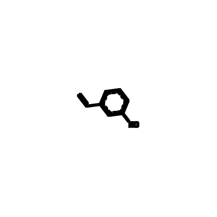 C=Cc1cccc(N=O)c1